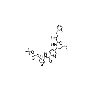 CN(C)CCC(NC(=O)NCCc1cccs1)c1ccc(C(=O)Nc2cscc2NC(=O)OC(C)(C)C)nc1